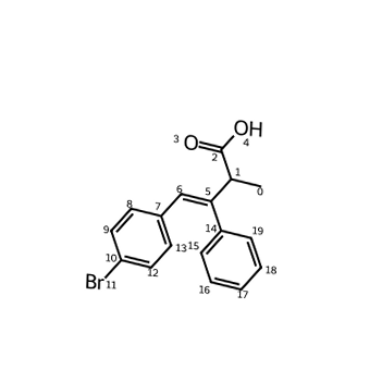 CC(C(=O)O)C(=Cc1ccc(Br)cc1)c1ccccc1